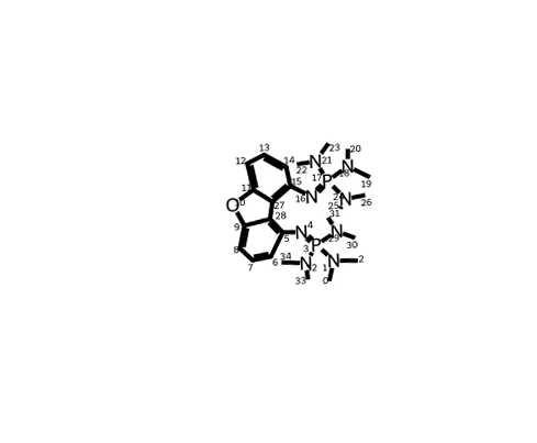 CN(C)P(=Nc1cccc2oc3cccc(N=P(N(C)C)(N(C)C)N(C)C)c3c12)(N(C)C)N(C)C